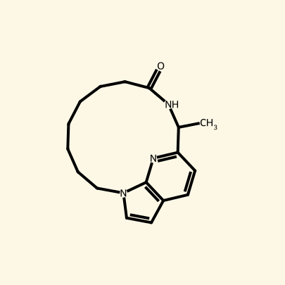 CC1NC(=O)CCCCCCCn2ccc3ccc1nc32